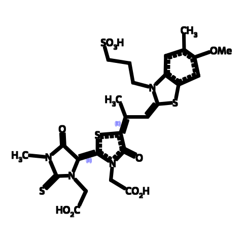 COc1cc2c(cc1C)N(CCCS(=O)(=O)O)C(=C/C(C)=c1/s/c(=C3\C(=O)N(C)C(=S)N3CC(=O)O)n(CC(=O)O)c1=O)S2